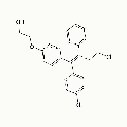 OCCOc1ccc(/C(=C(/CCCl)c2ccccc2)c2ccc(Cl)cc2)cc1